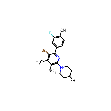 [2H]C1CCN(c2nc(-c3ccc(C#N)c(F)c3)c(Br)c(C)c2[N+](=O)[O-])CC1